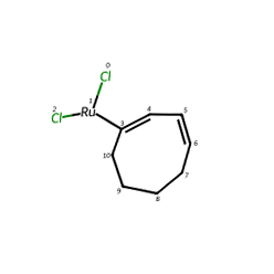 [Cl][Ru]([Cl])/[C]1=C/C=C\CCCC1